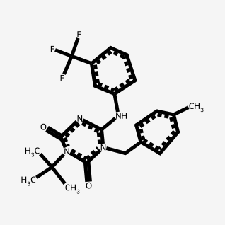 Cc1ccc(Cn2c(Nc3cccc(C(F)(F)F)c3)nc(=O)n(C(C)(C)C)c2=O)cc1